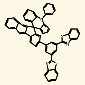 c1ccc(N2c3ccccc3C3(c4cc(-c5cc(-c6nc7ccccc7s6)cc(-c6nc7ccccc7s6)c5)ccc4-c4cc5ccccc5cc43)c3ccccc32)cc1